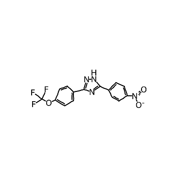 O=[N+]([O-])c1ccc(-c2nc(-c3ccc(OC(F)(F)F)cc3)n[nH]2)cc1